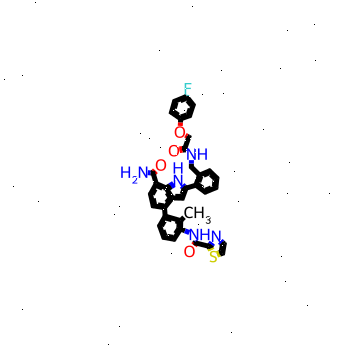 Cc1c(NC(=O)c2nccs2)cccc1-c1ccc(C(N)=O)c2[nH]c(-c3ccccc3CNC(=O)COc3ccc(F)cc3)cc12